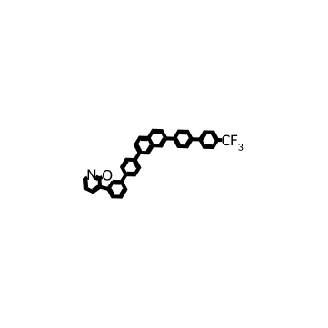 FC(F)(F)c1ccc(-c2ccc(-c3ccc4ccc(-c5ccc(-c6cccc7c6oc6ncccc67)cc5)cc4c3)cc2)cc1